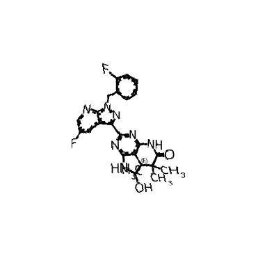 CC1(C)C(=O)Nc2nc(-c3nn(Cc4ccccc4F)c4ncc(F)cc34)nc3c2[C@@]1(C)C(O)N3